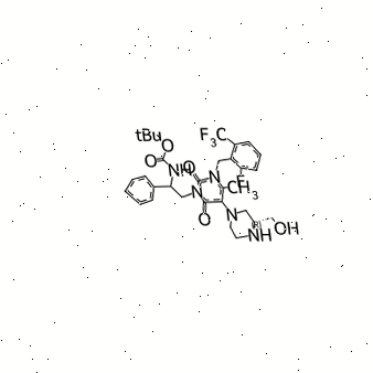 Cc1c(N2CCN[C@@H](CO)C2)c(=O)n(CC(NC(=O)OC(C)(C)C)c2ccccc2)c(=O)n1Cc1c(F)cccc1C(F)(F)F